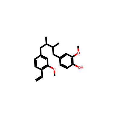 C=Cc1ccc(CC(C)C(C)Cc2ccc(O)c(OC)c2)cc1OC